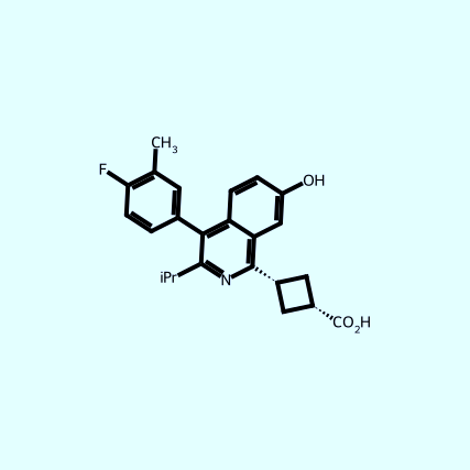 Cc1cc(-c2c(C(C)C)nc([C@H]3C[C@@H](C(=O)O)C3)c3cc(O)ccc23)ccc1F